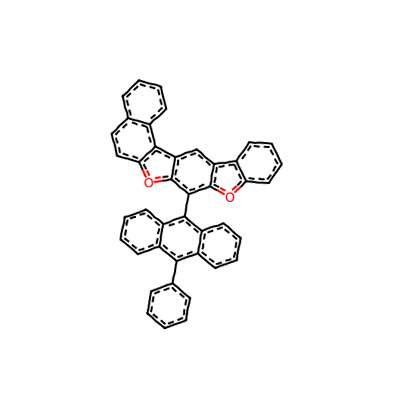 c1ccc(-c2c3ccccc3c(-c3c4oc5ccccc5c4cc4c3oc3ccc5ccccc5c34)c3ccccc23)cc1